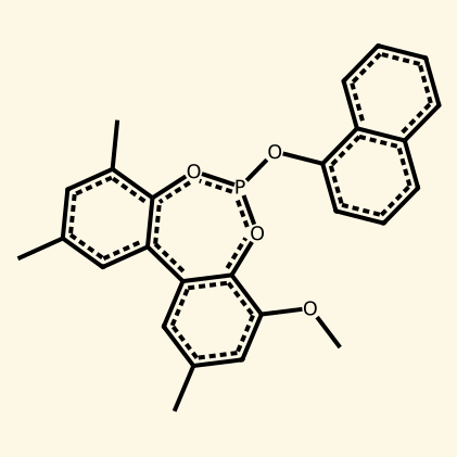 COc1cc(C)cc2c1op(Oc1cccc3ccccc13)oc1c(C)cc(C)cc12